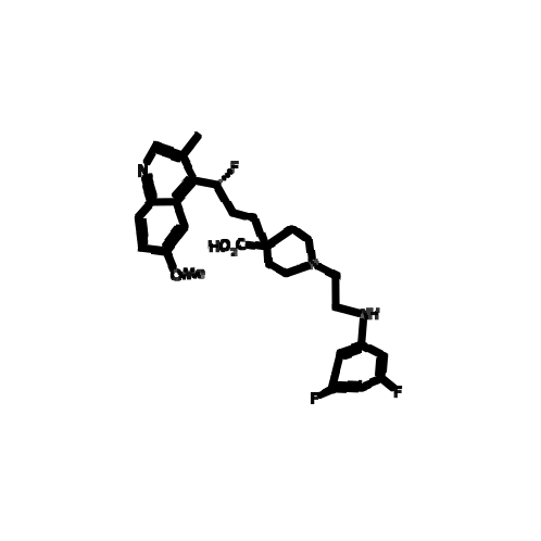 COc1ccc2ncc(C)c([C@H](F)CCC3(C(=O)O)CCN(CCNc4cc(F)cc(F)c4)CC3)c2c1